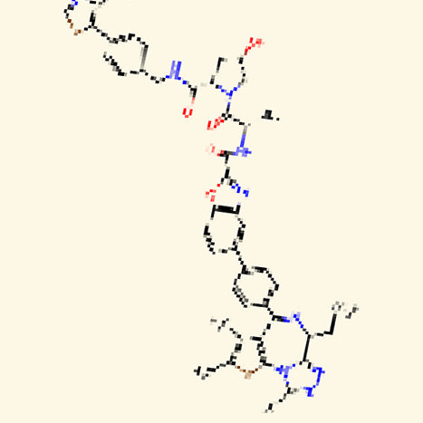 Cc1ncsc1-c1ccc(CNC(=O)[C@@H]2C[C@@H](O)CN2C(=O)[C@@H](NC(=O)c2nc3cc(-c4ccc(C5=N[C@@H](CC(=O)O)c6nnc(C)n6-c6sc(C)c(C)c65)cc4)ccc3o2)C(C)(C)C)cc1